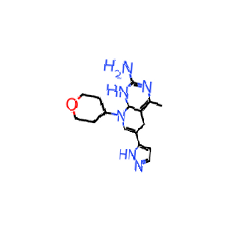 CC1=C2CC(c3ccn[nH]3)=CN(C3CCOCC3)C2NC(N)=N1